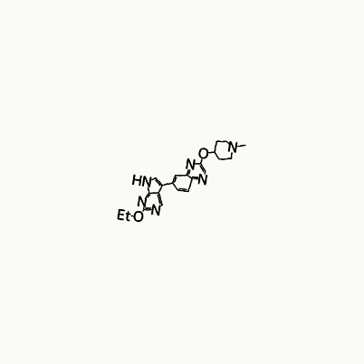 CCOc1ncc2c(-c3ccc4ncc(OC5CCN(C)CC5)nc4c3)c[nH]c2n1